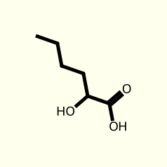 CCCCC(O)C(=O)O